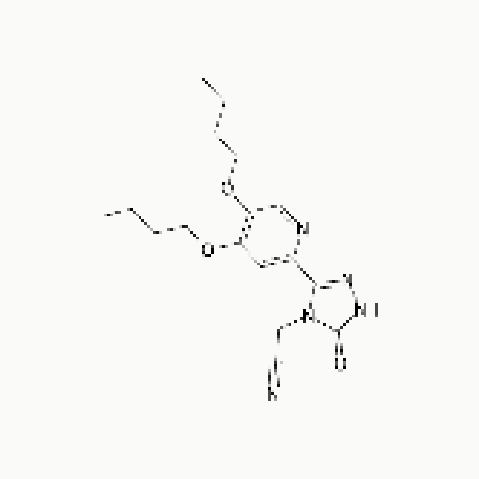 CCCCOc1cnc(-c2n[nH]c(=O)n2CC#N)cc1OCCCC